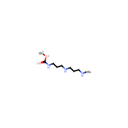 CC(C)(C)NCCCNCCCNC(=O)OC(C)(C)C